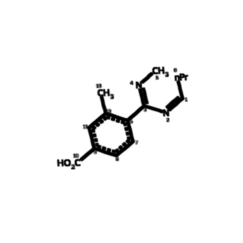 CCC/C=N\C(=N/C)c1ccc(C(=O)O)cc1C